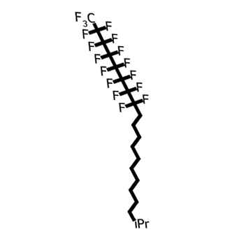 CC(C)CCCCCCCCCCC(F)(F)C(F)(F)C(F)(F)C(F)(F)C(F)(F)C(F)(F)C(F)(F)C(F)(F)F